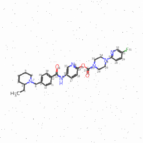 CCC1CCCCN1Cc1ccc(C(=O)Nc2ccc(OC(=O)N3CCN(c4ccc(F)cn4)CC3)nc2)cc1